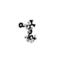 COC(=O)C1(Cc2ccc3nc(C(NC(=O)OCc4ccccc4)C(C4CC4)C4CC4)cn3n2)CCC(C(F)(F)F)NC1=O